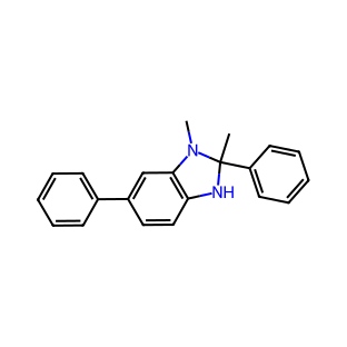 CN1c2cc(-c3ccccc3)ccc2NC1(C)c1ccccc1